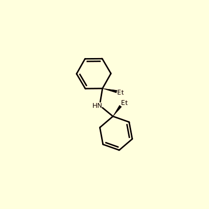 CC[C@@]1(N[C@]2(CC)C=CC=CC2)C=CC=CC1